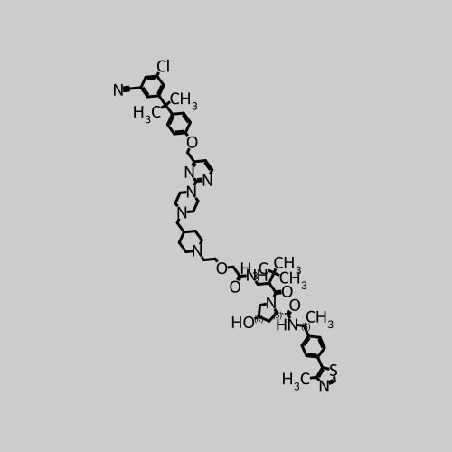 Cc1ncsc1-c1ccc([C@H](C)NC(=O)[C@@H]2C[C@@H](O)CN2C(=O)C(CNC(=O)COCCN2CCC(CN3CCN(c4nccc(COc5ccc(C(C)(C)c6cc(Cl)cc(C#N)c6)cc5)n4)CC3)CC2)C(C)(C)C)cc1